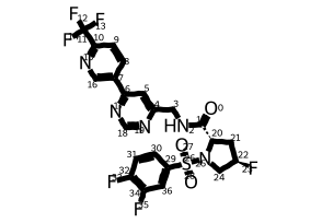 O=C(NCc1cc(-c2ccc(C(F)(F)F)nc2)ncn1)[C@@H]1C[C@@H](F)CN1S(=O)(=O)c1ccc(F)c(F)c1